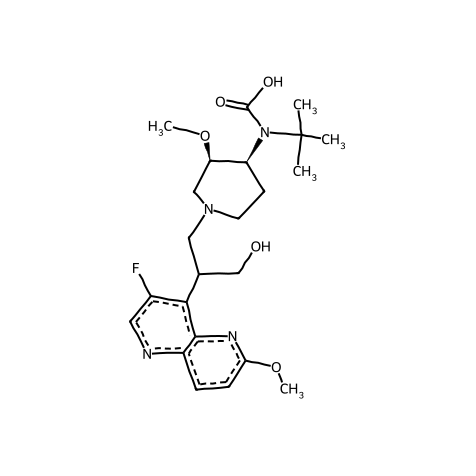 COc1ccc2ncc(F)c(C(CO)CN3CC[C@H](N(C(=O)O)C(C)(C)C)[C@H](OC)C3)c2n1